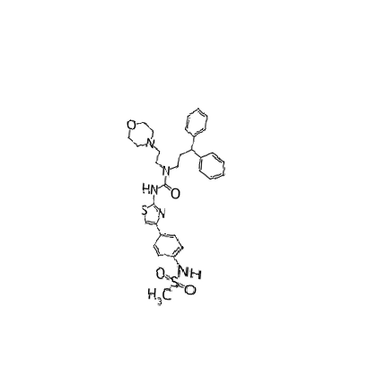 CS(=O)(=O)Nc1ccc(-c2csc(NC(=O)N(CCC(c3ccccc3)c3ccccc3)CCN3CCOCC3)n2)cc1